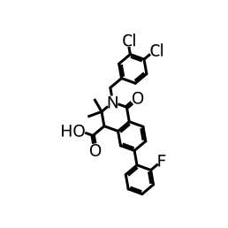 CC1(C)C(C(=O)O)c2cc(-c3ccccc3F)ccc2C(=O)N1Cc1ccc(Cl)c(Cl)c1